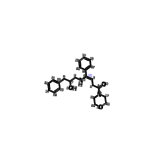 O=C(C/C=C(\NCC(O)Cc1ccccc1)c1ccccc1)N1CCOCC1